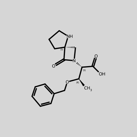 C[C@@H](OCc1ccccc1)[C@@H](C(=O)O)N1C[C@@]2(CCCN2)C1=O